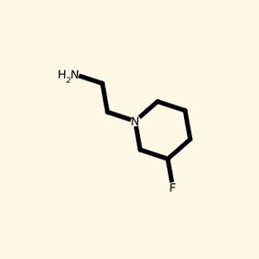 NCCN1CCCC(F)C1